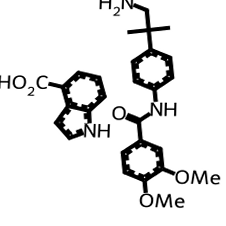 COc1ccc(C(=O)Nc2ccc(C(C)(C)CN)cc2)cc1OC.O=C(O)c1cccc2[nH]ccc12